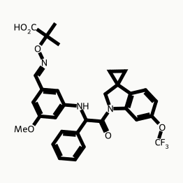 COc1cc(C=NOC(C)(C)C(=O)O)cc(NC(C(=O)N2CC3(CC3)c3ccc(OC(F)(F)F)cc32)c2ccccc2)c1